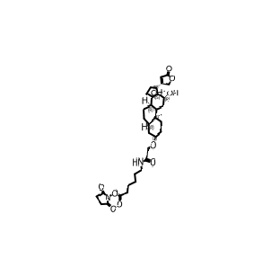 C[C@]12[C@H](O)CC3[C@@H](CC[C@@H]4C[C@@H](OCC(=O)NCCCCCC(=O)ON5C(=O)CCC5=O)CC[C@]34C)[C@@]1(O)CC[C@@H]2C1=CC(=O)OC1